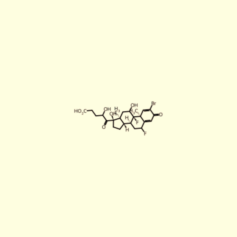 C[C@]12C=C(Br)C(=O)C=C1C(F)C[C@H]1[C@@H]3CC[C@](O)(C(=O)C(O)CCC(=O)O)[C@@]3(C)CC(O)[C@@]12F